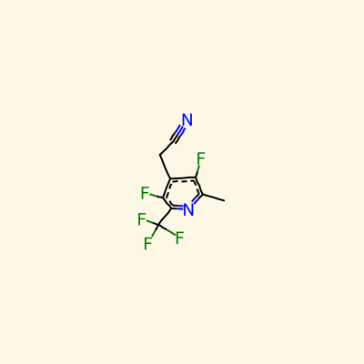 Cc1nc(C(F)(F)F)c(F)c(CC#N)c1F